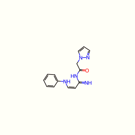 N=C(/C=C\Nc1ccccc1)NC(=O)Cn1cccn1